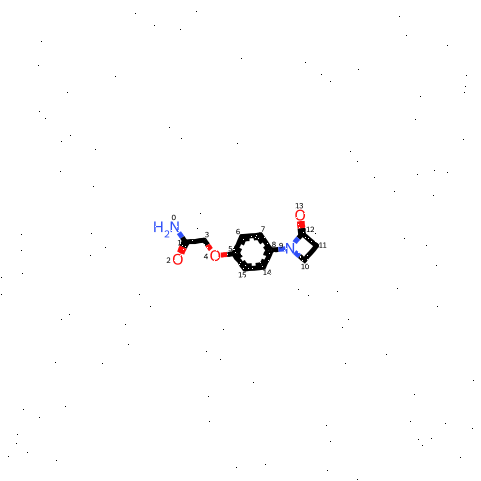 NC(=O)COc1ccc(N2CCC2=O)cc1